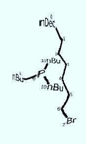 CCCCCCCCCCCCCCCCBr.CCCCP(CCCC)CCCC